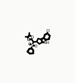 Cc1nc(C(C2Cc3[nH]c4ccc(Cl)cc4c3C2)S(=O)(=O)c2ccccc2)oc1C